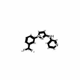 FC(F)c1cccc(-n2ccc(Nc3cccnc3)n2)c1